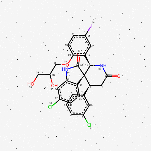 O=C1C[C@@H](c2cccc(Cl)c2)[C@]2(C(=O)Nc3cc(Cl)ccc32)[C@@H](c2cc(I)ccc2OCC(O)CO)N1